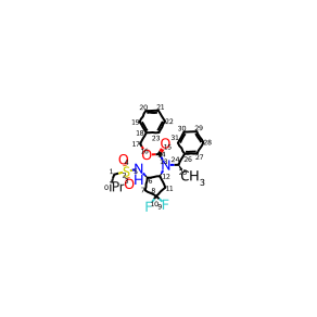 CC(C)CS(=O)(=O)N[C@@H]1CC(F)(F)C[C@@H]1N(C(=O)OCc1ccccc1)[C@H](C)c1ccccc1